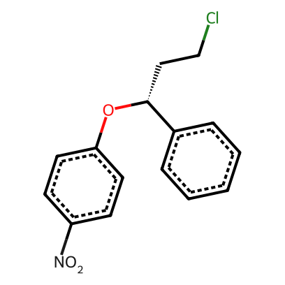 O=[N+]([O-])c1ccc(O[C@H](CCCl)c2ccccc2)cc1